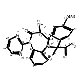 COc1ccc(C(C(N)=O)(C(C)C)N2C(=O)C(N)C(=O)N(c3ncccn3)c3ccccc32)cc1